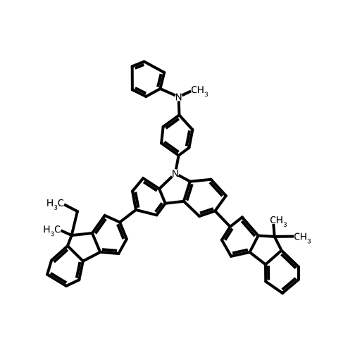 CCC1(C)c2ccccc2-c2ccc(-c3ccc4c(c3)c3cc(-c5ccc6c(c5)C(C)(C)c5ccccc5-6)ccc3n4-c3ccc(N(C)c4ccccc4)cc3)cc21